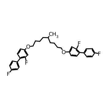 CC(CCCCOc1ccc(-c2ccc(F)cc2)c(F)c1)CCCCOc1ccc(-c2ccc(F)cc2)c(F)c1